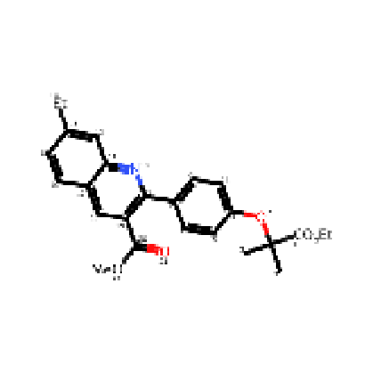 CCOC(=O)C(C)(C)Oc1ccc(-c2nc3cc(CC)ccc3cc2C(=O)OC)cc1